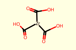 O=[C](O)[Zr]([C](=O)O)[C](=O)O